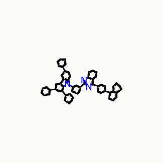 c1ccc(-c2ccc3c(c2)c2cc(-c4ccccc4)cc(-c4ccccc4)c2n3-c2cccc(-c3nc(-c4ccc(-c5cccc6ccccc56)cc4)c4ccccc4n3)c2)cc1